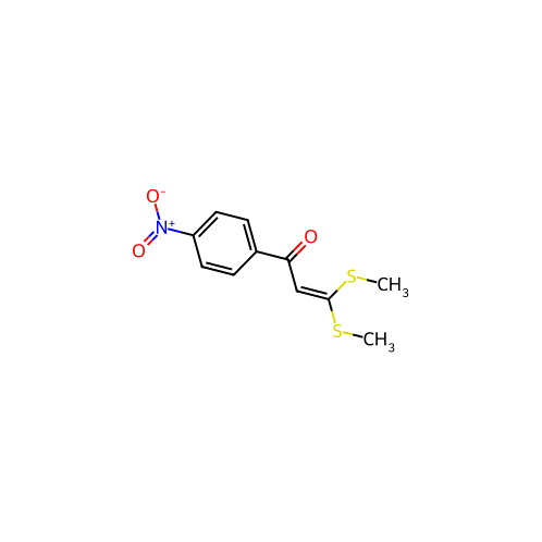 CSC(=CC(=O)c1ccc([N+](=O)[O-])cc1)SC